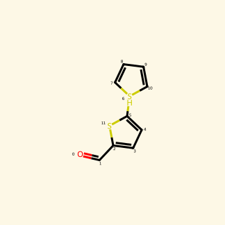 O=Cc1ccc([SH]2C=CC=C2)s1